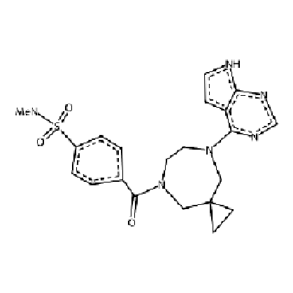 CNS(=O)(=O)c1ccc(C(=O)N2CCN(c3ncnc4[nH]ccc34)CC3(CC3)C2)cc1